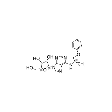 C[C@H](COc1ccccc1)Nc1ncnc2c1ncn2[C@@H]1O[C@H](CO)C(O)C1O